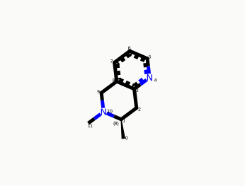 C[C@@H]1Cc2ncccc2CN1C